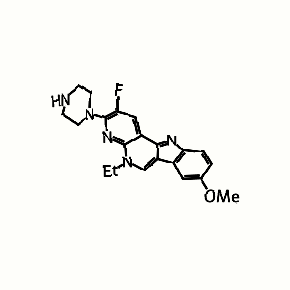 CCn1cc2c3cc(OC)ccc3nc-2c2cc(F)c(N3CCNCC3)nc21